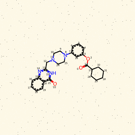 O=C(Oc1cccc(N2CCN(Cc3nc4ccccc4c(=O)[nH]3)CC2)c1)C1CCCCC1